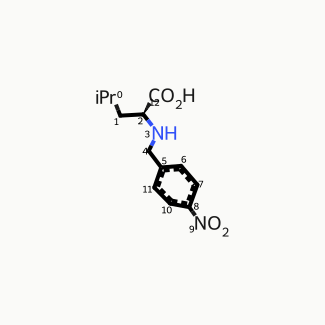 CC(C)C[C@H](NCc1ccc([N+](=O)[O-])cc1)C(=O)O